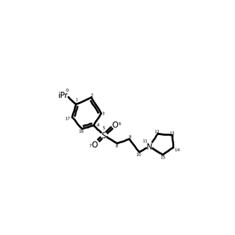 CC(C)c1ccc(S(=O)(=O)CCCN2CCCC2)cc1